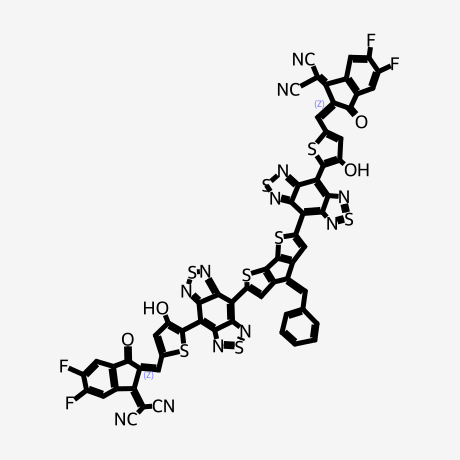 N#CC(C#N)=C1/C(=C/c2cc(O)c(-c3c4c(c(-c5cc6c(s5)-c5sc(-c7c8c(c(-c9sc(/C=C%10\C(=O)c%11cc(F)c(F)cc%11C%10=C(C#N)C#N)cc9O)c9nsnc79)N=S=N8)cc5C6=Cc5ccccc5)c5nsnc35)N=S=N4)s2)C(=O)c2cc(F)c(F)cc21